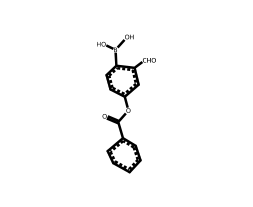 O=Cc1cc(OC(=O)c2ccccc2)ccc1B(O)O